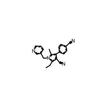 CCc1c(C#N)c(-c2ccc(C#N)cc2)c(C)n1Cc1cccnc1